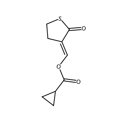 O=C1SCC/C1=C\OC(=O)C1CC1